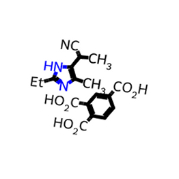 CCc1nc(C)c(C(C)C#N)[nH]1.O=C(O)c1ccc(C(=O)O)c(C(=O)O)c1